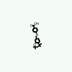 CC1(C)CC(C)(C)c2ccc(C=Nc3ccc(C(=O)O)cc3)cc2O1